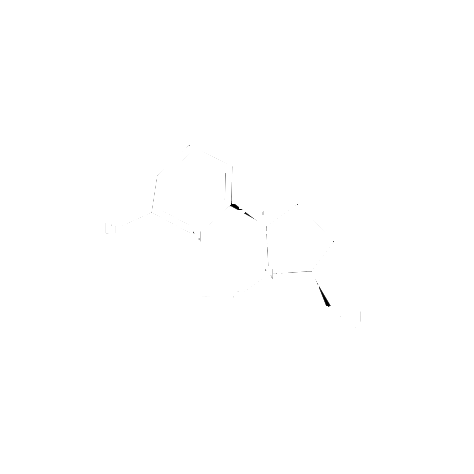 O=C(O)[C@@H]1CC[C@H](c2cccc(Br)n2)N1C(=O)O